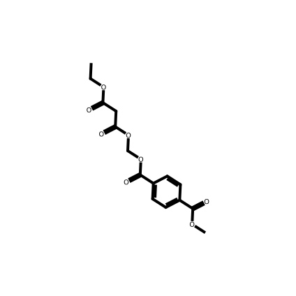 CCOC(=O)CC(=O)OCOC(=O)c1ccc(C(=O)OC)cc1